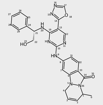 CC1C=CCn2c3cc(Nc4ncc(-c5nnco5)c(N[C@H](CO)c5ccccc5)n4)ccc3c(=O)n21